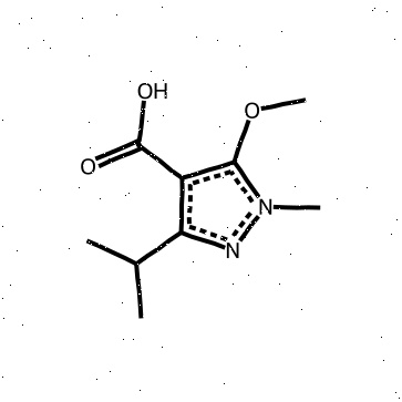 COc1c(C(=O)O)c(C(C)C)nn1C